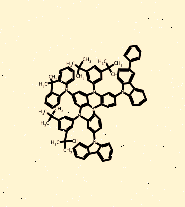 CC(C)(C)c1cc(N2c3cc(-n4c5ccccc5c5ccccc54)ccc3B3c4ccc(-n5c6ccccc6c6cc(-c7ccccc7)ccc65)cc4N(c4cc(C(C)(C)C)cc(C(C)(C)C)c4)c4cc(N5c6ccccc6C(C)(C)c6ccccc65)cc2c43)cc(C(C)(C)C)c1